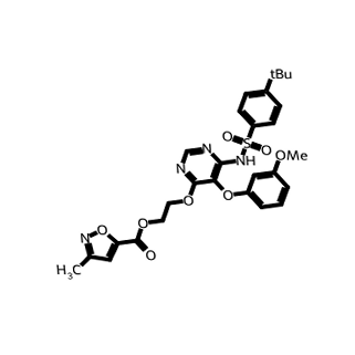 COc1cccc(Oc2c(NS(=O)(=O)c3ccc(C(C)(C)C)cc3)ncnc2OCCOC(=O)c2cc(C)no2)c1